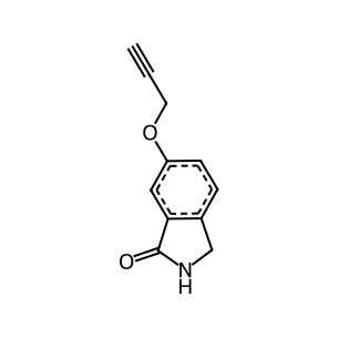 C#CCOc1ccc2c(c1)C(=O)NC2